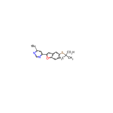 CC(C)(Sc1ccc2oc(-c3cc(C(C)(C)C)ncn3)cc2c1)C(=O)O